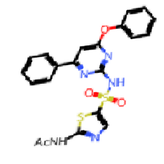 CC(=O)Nc1ncc(S(=O)(=O)Nc2nc(Oc3ccccc3)cc(-c3ccccc3)n2)s1